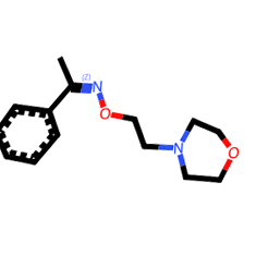 C/C(=N/OCCN1CCOCC1)c1ccccc1